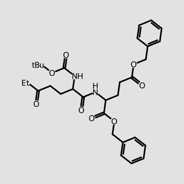 CCC(=O)CCC(NC(=O)OC(C)(C)C)C(=O)NC(CCC(=O)OCc1ccccc1)C(=O)OCc1ccccc1